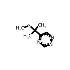 CSC(C)(C)c1cnncn1